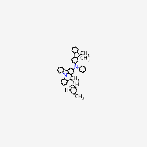 Cc1cc(N(c2ccccc2)c2ccc3c(c2)C(C)(C)c2ccccc2-3)cc2c3ccccc3n(-c3ccccc3CCC3C[C@@H]4C[C@H](C)C[C@H]3C4)c12